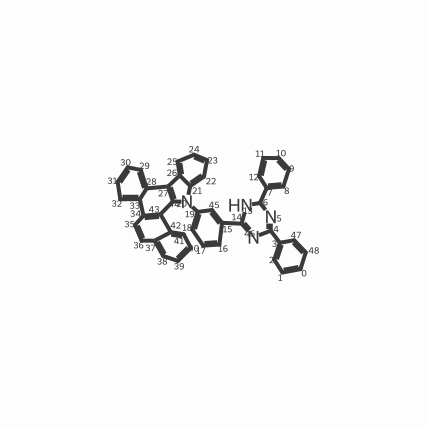 c1ccc(C2=NC(c3ccccc3)NC(c3cccc(-n4c5ccccc5c5c6ccccc6c6ccc7ccccc7c6c54)c3)=N2)cc1